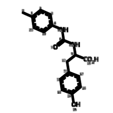 Cc1ccc(NC(=O)NC(Cc2ccc(O)cc2)C(=O)O)cc1